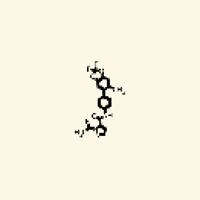 Cc1cc2c(cc1-c1ccc(NC(=O)c3ccnn3C(C)F)cc1)OC(F)(F)O2